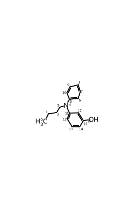 CCCCN(c1ccccc1)c1cccc(O)c1